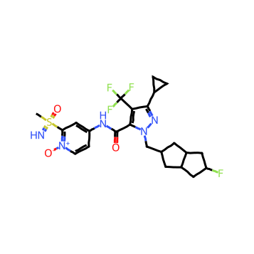 CS(=N)(=O)c1cc(NC(=O)c2c(C(F)(F)F)c(C3CC3)nn2CC2CC3CC(F)CC3C2)cc[n+]1[O-]